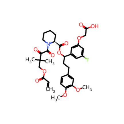 C=CC(=O)OCC(C)(C)C(=O)C(=O)N1CCCC[C@H]1C(=O)OC(CCc1ccc(OC)c(OC)c1)c1cc(F)cc(OCC(=O)O)c1